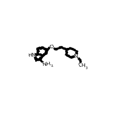 CCN1CCC(CCOc2ccc3[nH]cc(N)c3c2)CC1